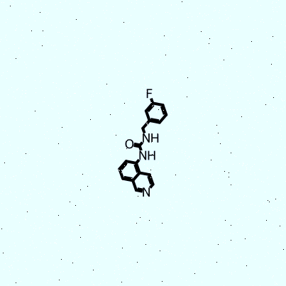 O=C(NCc1cccc(F)c1)Nc1cccc2cnccc12